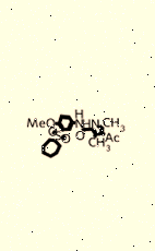 COc1ccc(NC(=O)c2[nH]c(C)c(C(C)=O)c2C)cc1S(=O)(=O)C1CCCCCC1